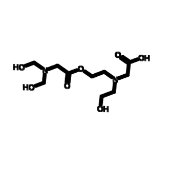 O=C(O)CN(CCO)CCOC(=O)CN(CO)CO